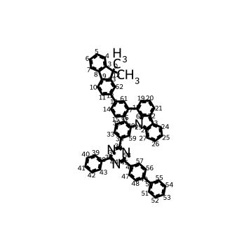 CC1(C)c2ccccc2-c2ccc(-c3cccc(-c4cccc5c6ccccc6n(-c6cccc(-c7nc(-c8ccccc8)nc(-c8ccc(-c9ccccc9)cc8)n7)c6)c45)c3)cc21